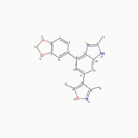 Cc1nc2c(-c3ccc4c(c3)OCO4)cc(-c3c(C)noc3C)cc2[nH]1